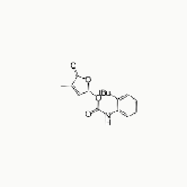 CC1=CC(OC(=O)Nc2ccccc2C(C)(C)C)OC1=O